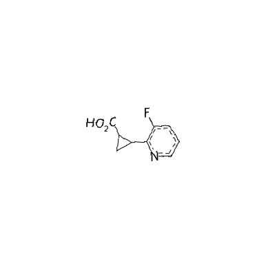 O=C(O)C1CC1c1ncccc1F